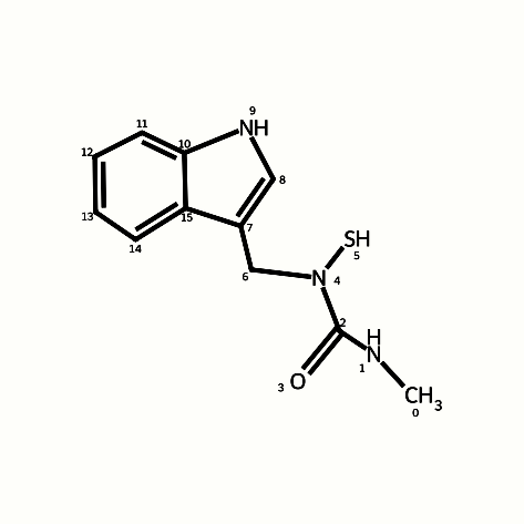 CNC(=O)N(S)Cc1c[nH]c2ccccc12